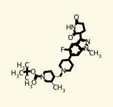 C[C@@H]1CN(C(=O)OC(C)(C)C)CC[C@@H]1CN1CCC(c2cc3c(cc2F)c(C2CCC(=O)NC2=O)nn3C)CC1